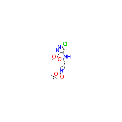 COC(=O)c1nnc(Cl)cc1NCCC1CN(C(=O)OC(C)(C)C)C1